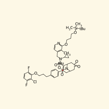 Cc1c(CN(C(=O)C2=C(c3ccc(CCCOc4c(F)ccc(F)c4Cl)cc3)CC3CS(=O)(=O)CC2N3C(=O)OC(C)(C)C)C2CC2)ccnc1OCCCO[Si](C)(C)C(C)(C)C